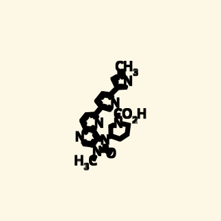 Cn1cc(-c2ccc(-c3ccc4ncc5c(c4n3)n(C3CCCN(C(=O)O)C3)c(=O)n5C)cn2)cn1